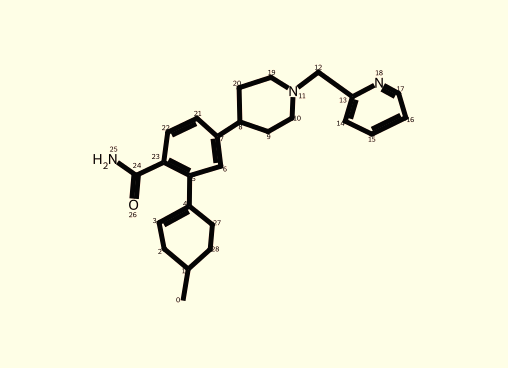 CC1CC=C(c2cc(C3CCN(Cc4ccccn4)CC3)ccc2C(N)=O)CC1